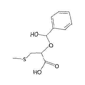 CSCC(OC(O)c1ccccc1)C(=O)O